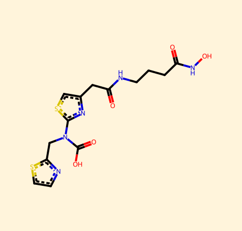 O=C(CCCNC(=O)Cc1csc(N(Cc2nccs2)C(=O)O)n1)NO